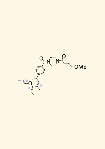 C/C=C/OC(=C/C)/C(C)=C\C(C)c1ccc(C(=O)N2CCN(C(=O)CCCOC)CC2)cc1